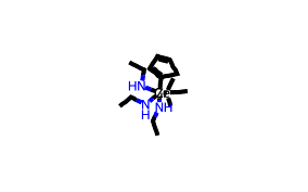 CC[NH][Zr]([NH]CC)([NH]CC)([C]1=CC=CC1)[Ge]([CH3])([CH3])[CH3]